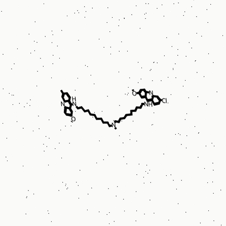 COc1ccc2nc3cc(C)ccc3c(NCCCCCCCCCCCN(C)CCCCCCCCCCCNc3c4ccc(Cl)cc4nc4ccc(OC)cc34)c2c1